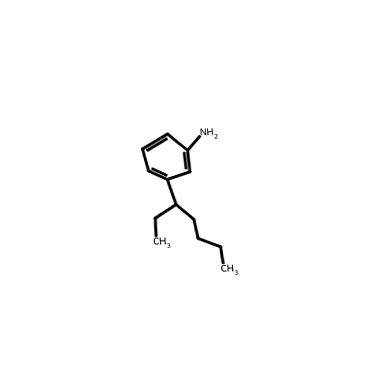 CCCCC(CC)c1cccc(N)c1